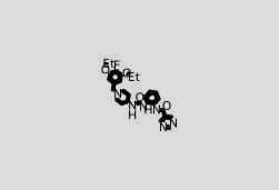 CCOc1cc(CN2CCC(Nc3nc4c(NC(=O)c5cncnc5)cccc4o3)CC2)cc(OCC)c1F